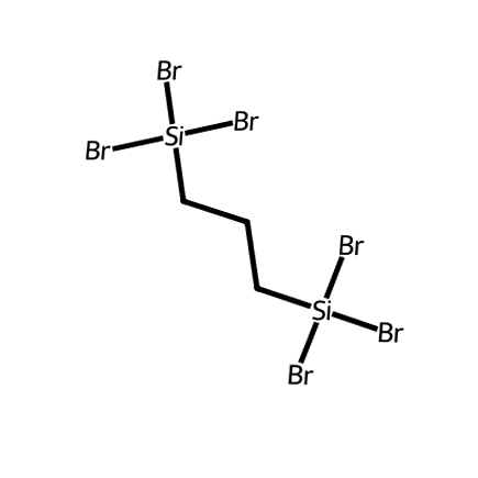 Br[Si](Br)(Br)CCC[Si](Br)(Br)Br